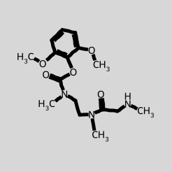 CNCC(=O)N(C)CCN(C)C(=O)Oc1c(OC)cccc1OC